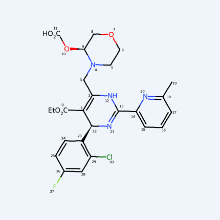 CCOC(=O)C1=C(CN2CCOC[C@@H]2OC(=O)O)NC(c2cccc(C)n2)=N[C@H]1c1ccc(F)cc1Cl